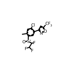 Cc1cc(Cl)c(-c2cc(C(F)(F)F)on2)cc1[S+]([O-])C(F)C(F)F